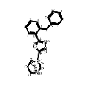 c1ccc(Cc2ccccc2-c2nnc(N3CCN4CCC3CC4)o2)cc1